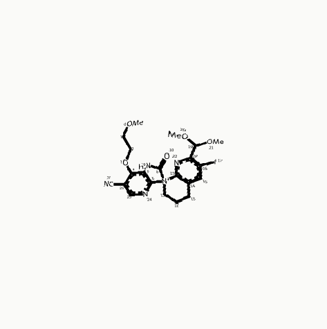 COCCOc1cc([N+]2(C(N)=O)CCCc3cc(I)c(C(OC)OC)nc32)ncc1C#N